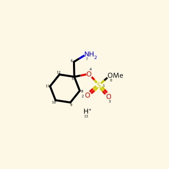 COS(=O)(=O)OC1(CN)CCCCC1.[H+]